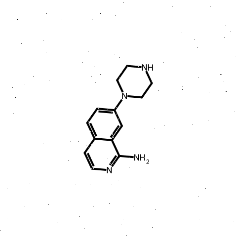 Nc1nccc2ccc(N3CCNCC3)cc12